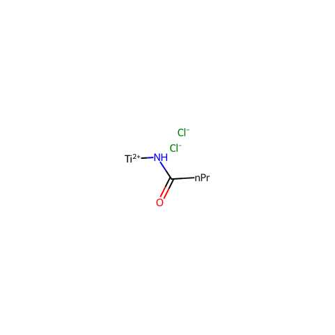 CCCC(=O)[NH][Ti+2].[Cl-].[Cl-]